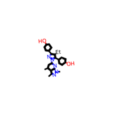 CCc1c(-c2ccc(O)cc2)nn(-c2cc(C)c3c(C)nn(C)c3n2)c1-c1ccc(O)cc1